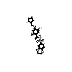 O=C(NS(=O)(=O)c1ccc2c(c1)OCCO2)c1cc(Cl)c(OCC2CCCC2)cc1F